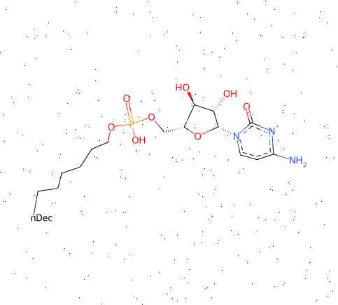 CCCCCCCCCCCCCCCCOP(=O)(O)OC[C@H]1O[C@@H](n2ccc(N)nc2=O)[C@@H](O)[C@@H]1O